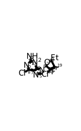 CC[C@H]1O[C@@H](n2cnc3c(Cl)nc(N)nc32)[C@](F)(Cl)[C@@H]1C